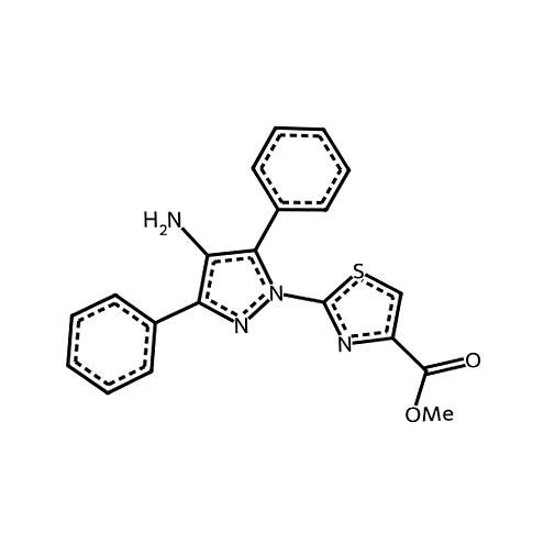 COC(=O)c1csc(-n2nc(-c3ccccc3)c(N)c2-c2ccccc2)n1